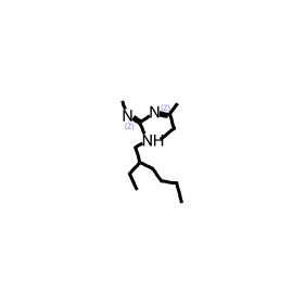 CCCCC(CC)CNC(/N=C(/C)CC)=N/C